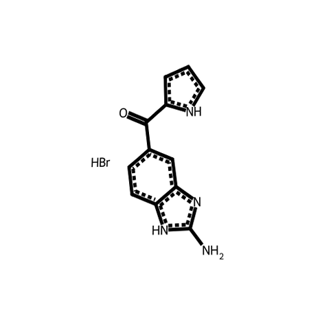 Br.Nc1nc2cc(C(=O)c3ccc[nH]3)ccc2[nH]1